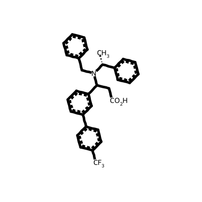 C[C@H](c1ccccc1)N(Cc1ccccc1)C(CC(=O)O)c1cccc(-c2ccc(C(F)(F)F)cc2)c1